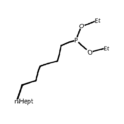 CCCCCCCCCCCCP(OCC)OCC